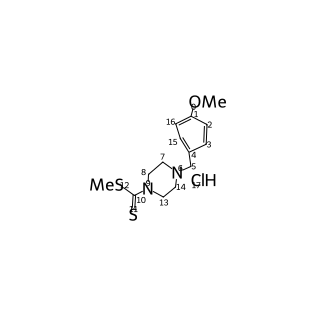 COc1ccc(CN2CCN(C(=S)SC)CC2)cc1.Cl